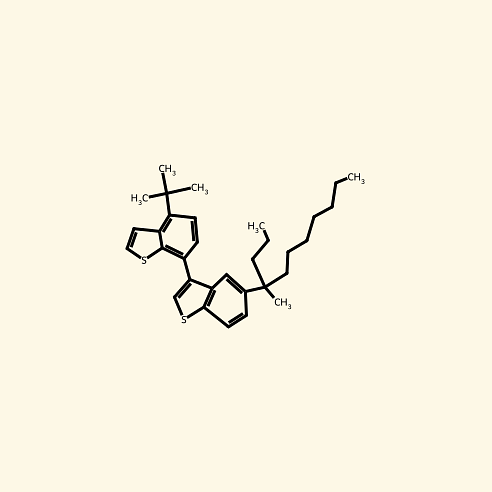 CCCCCCCC(C)(CCC)c1ccc2scc(-c3ccc(C(C)(C)C)c4ccsc34)c2c1